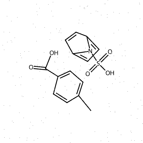 Cc1ccc(C(=O)O)cc1.O=S(=O)(O)n1c2ccc1cc2